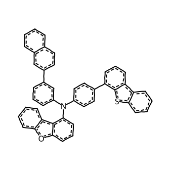 c1cc(-c2ccc3ccccc3c2)cc(N(c2ccc(-c3cccc4c3sc3ccccc34)cc2)c2cccc3oc4ccccc4c23)c1